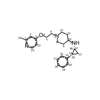 Cc1cc(OCCN2CCC(N[C@@H]3C[C@H]3c3ccccc3)CC2)ccn1